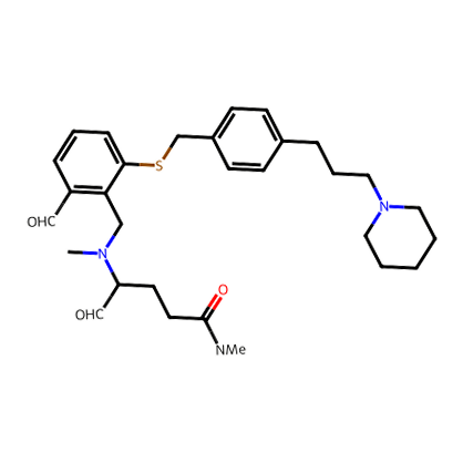 CNC(=O)CCC(C=O)N(C)Cc1c(C=O)cccc1SCc1ccc(CCCN2CCCCC2)cc1